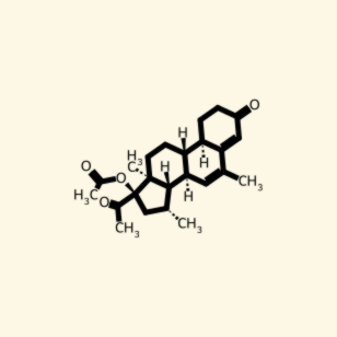 CC(=O)O[C@]1(C(C)=O)C[C@@H](C)[C@H]2[C@@H]3C=C(C)C4=CC(=O)CC[C@@H]4[C@H]3CC[C@@]21C